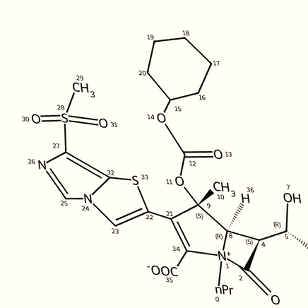 CCC[N+]12C(=O)[C@H]([C@@H](C)O)[C@@H]1[C@@](C)(OC(=O)OC1CCCCC1)C(c1cn3cnc(S(C)(=O)=O)c3s1)=C2C(=O)[O-]